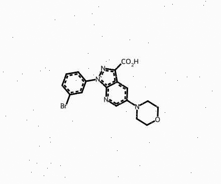 O=C(O)c1nn(-c2cccc(Br)c2)c2ncc(N3CCOCC3)cc12